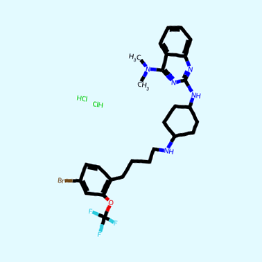 CN(C)c1nc(NC2CCC(NCCCCc3ccc(Br)cc3OC(F)(F)F)CC2)nc2ccccc12.Cl.Cl